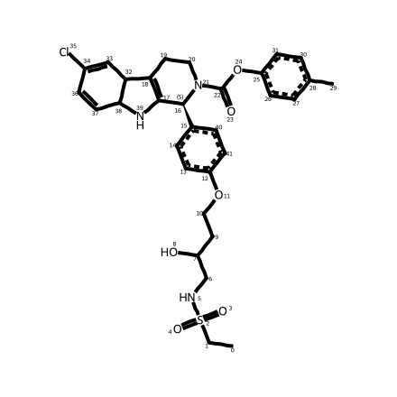 CCS(=O)(=O)NCC(O)CCOc1ccc([C@H]2C3=C(CCN2C(=O)Oc2ccc(C)cc2)C2C=C(Cl)C=CC2N3)cc1